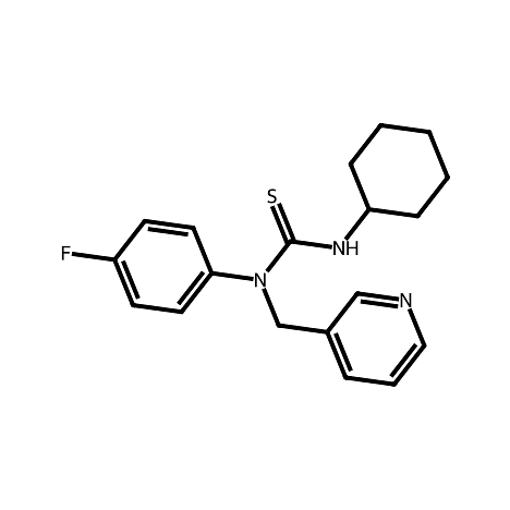 Fc1ccc(N(Cc2cccnc2)C(=S)NC2CCCCC2)cc1